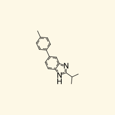 Cc1ccc(-c2ccc3[nH]c(C(C)C)nc3c2)cc1